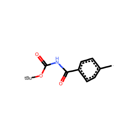 [CH2]c1ccc(C(=O)NC(=O)OC(C)(C)C)cc1